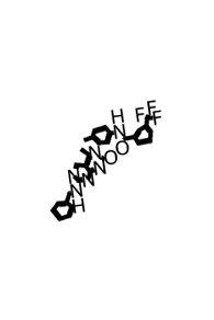 Cc1ccc(NC(=O)c2cccc(C(F)(F)F)c2)cc1-n1c(C)c2cnc(NCc3ccccc3)nc2nc1=O